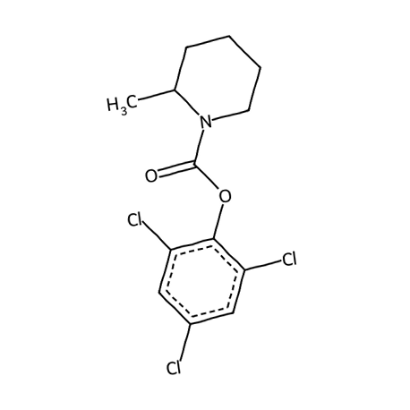 CC1CCCCN1C(=O)Oc1c(Cl)cc(Cl)cc1Cl